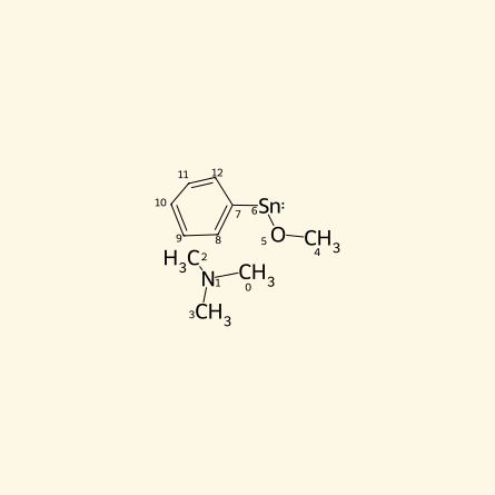 CN(C)C.C[O][Sn][c]1ccccc1